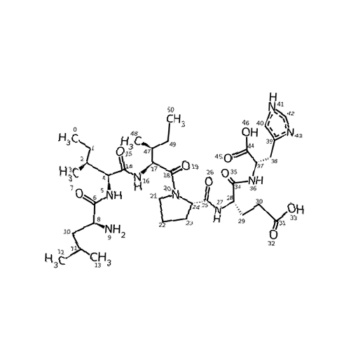 CC[C@H](C)[C@H](NC(=O)[C@@H](N)CC(C)C)C(=O)N[C@H](C(=O)N1CCC[C@H]1C(=O)N[C@@H](CCC(=O)O)C(=O)N[C@@H](Cc1c[nH]cn1)C(=O)O)[C@@H](C)CC